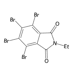 [CH2]CN1C(=O)c2c(Br)c(Br)c(Br)c(Br)c2C1=O